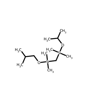 CC(C)CO[Si](C)(C)C[Si](C)(C)OC(C)C